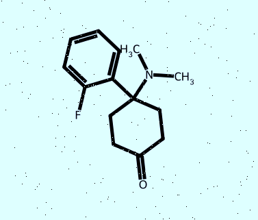 CN(C)C1(c2ccccc2F)CCC(=O)CC1